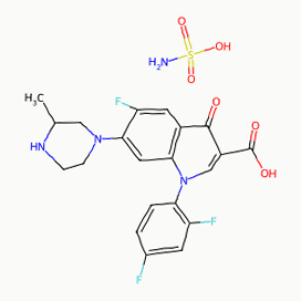 CC1CN(c2cc3c(cc2F)c(=O)c(C(=O)O)cn3-c2ccc(F)cc2F)CCN1.NS(=O)(=O)O